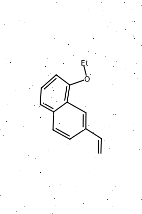 C=Cc1ccc2cccc(OCC)c2c1